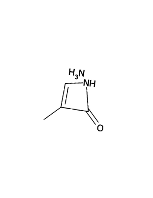 CC1=CNC1=O.N